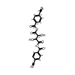 N#Cc1ccc(C(=O)OC(=O)C(O)C(O)C(=O)OC(=O)c2ccc(C#N)cc2)cc1